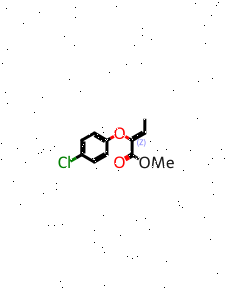 C/C=C(\Oc1ccc(Cl)cc1)C(=O)OC